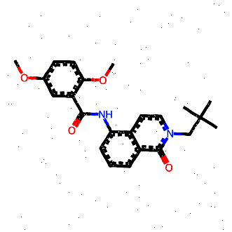 COc1ccc(OC)c(C(=O)Nc2cccc3c(=O)n(CC(C)(C)C)ccc23)c1